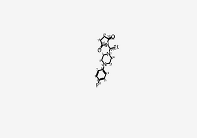 CCC(N1CCN(c2ccc(F)cc2)CC1)N1C(=O)CCC1=O